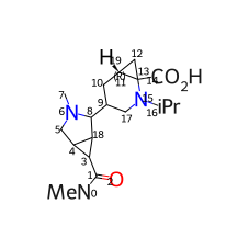 CNC(=O)C1C2CN(C)C(C3C[C@@H]4CC4(C(=O)O)N(C(C)C)C3)C21